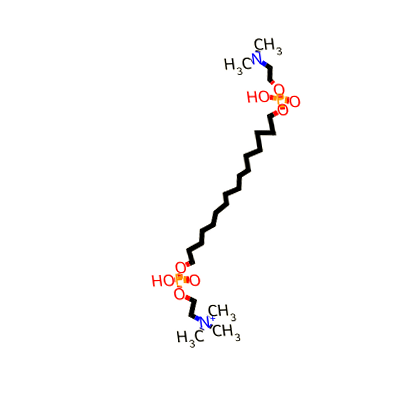 CN(C)CCOP(=O)(O)OCCCCCCCCCCCCCCCCOP(=O)(O)OCC[N+](C)(C)C